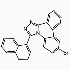 Brc1ccc2c(c1)c1ccccc1c1nnc(-c3cccc4ccccc34)n21